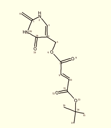 C=C1NC=C(COC(=O)/C=C/C(=O)OC(C)(C)C)C(=O)N1